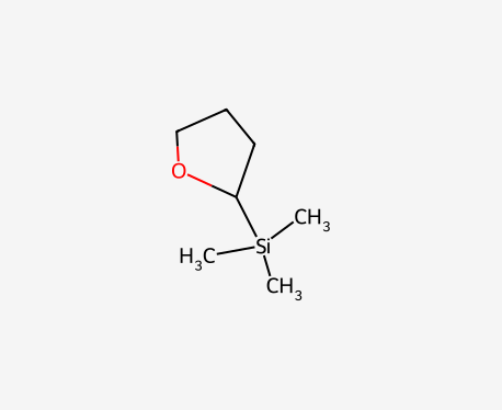 C[Si](C)(C)C1CCCO1